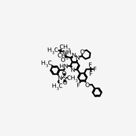 CCN(c1ccc(C)cc1CNc1nc(-c2cc(F)c(OCc3ccccc3)cc2CC(F)(F)F)cc2c1c(C(=O)NC(C)(C)C)nn2C1CCCCO1)S(C)(=O)=O